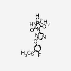 COc1cc(Oc2cncc(N3C(=O)NC(C)(C)C3=O)n2)ccc1F